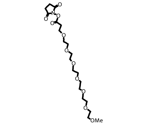 COCCOCCOCCOCCOCCOCCOCCC(=O)ON1C(=O)CCC1=O